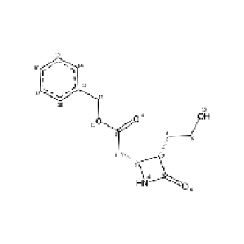 O=C(C[C@H]1NC(=O)[C@H]1CCO)OCc1ccccc1